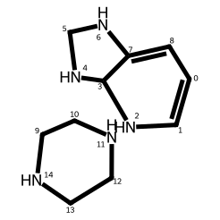 C1=CNC2NCNC2=C1.C1CNCCN1